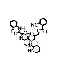 CC(C)C[C@H](NC(=O)C(=O)Nc1ccccc1F)C(=O)N[C@@H](C[C@@H]1CCCNC1=O)C(=O)COC(=O)c1ccccc1C#N